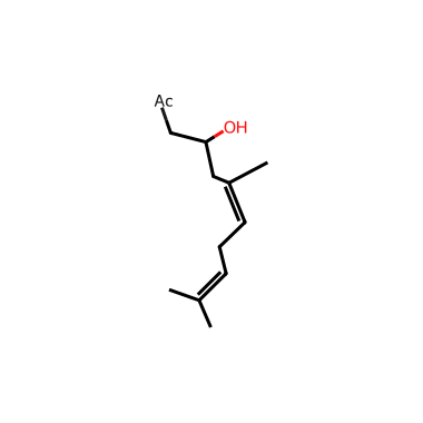 CC(=O)CC(O)C/C(C)=C\CC=C(C)C